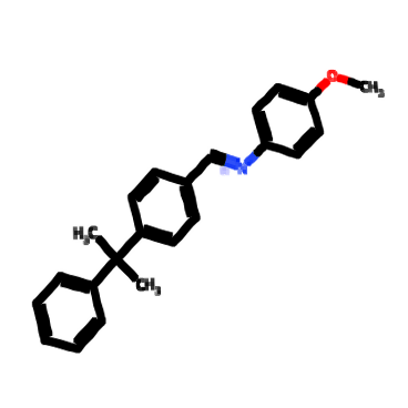 COc1ccc(/N=C/c2ccc(C(C)(C)c3ccccc3)cc2)cc1